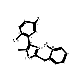 Cc1[nH]c(Cc2ccccc2Cl)nc1-c1cc(Cl)ccc1Cl